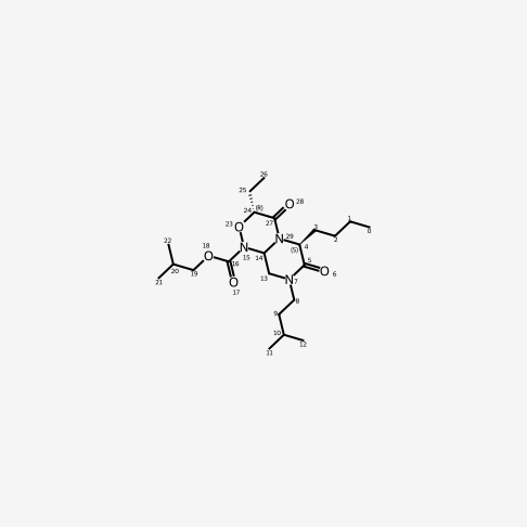 CCCC[C@H]1C(=O)N(CCC(C)C)CC2N(C(=O)OCC(C)C)O[C@H](CC)C(=O)N21